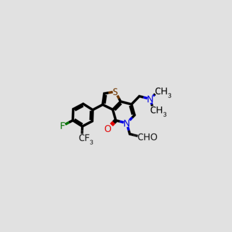 CN(C)Cc1cn(CC=O)c(=O)c2c(-c3ccc(F)c(C(F)(F)F)c3)csc12